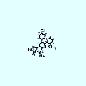 Cc1ccccc1-c1nc2nc(C(C)(C)C)n3c(=O)[nH]nc3c2cc1-c1ccc(Cl)cc1